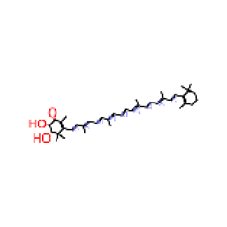 CC1=C(/C=C/C(C)=C/C=C/C(C)=C/C=C/C=C(C)/C=C/C=C(C)/C=C/C2=C(C)C(=O)C(O)C(O)C2(C)C)C(C)(C)CCC1